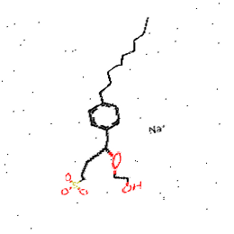 CCCCCCCCCc1ccc(C(CCS(=O)(=O)[O-])OCCO)cc1.[Na+]